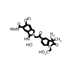 CCOc1cc2c(cc1C(=O)NC)C(=N)N(CC(=O)c1ccc3c(c1)C(C)(C)C(=O)N3CC(=O)O)C2.Cl